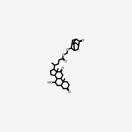 CC(CCC(=O)OCOC1C2CC3CC1CC(C2)C3=O)C1CCC2C3C(O)CC4CC(=O)CCC4(C)C3CC(=O)C12C